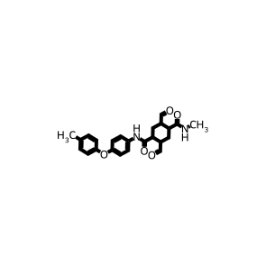 CNC(=O)C1CC(C=O)C(C(=O)Nc2ccc(Oc3ccc(C)cc3)cc2)CC1C=O